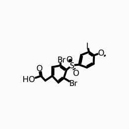 COc1ccc(S(=O)(=O)c2c(Br)cc(CC(=O)O)cc2Br)cc1I